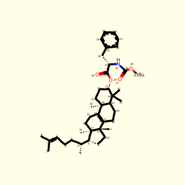 CC(C)=CCC[C@@H](C)[C@H]1CC[C@@]2(C)C3=C(CC[C@]12C)[C@@]1(C)CC[C@H](OC(=O)[C@H](Cc2ccccc2)NC(=O)OC(C)(C)C)C(C)(C)C1CC3